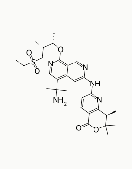 CCS(=O)(=O)C[C@H](C)[C@H](C)Oc1ncc(C(C)(C)N)c2cc(Nc3ccc4c(n3)[C@@H](C)C(C)(C)OC4=O)ncc12